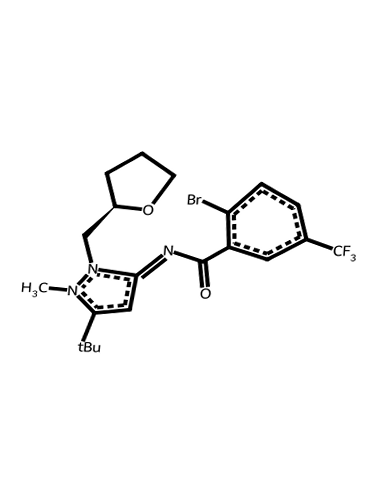 Cn1c(C(C)(C)C)cc(=NC(=O)c2cc(C(F)(F)F)ccc2Br)n1C[C@H]1CCCO1